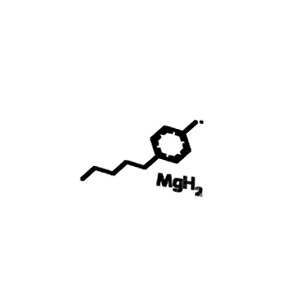 [CH2]c1ccc(CCCCC)cc1.[MgH2]